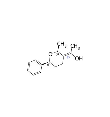 C/C(O)=C1/CC[C@@H](c2ccccc2)O[C@H]1C